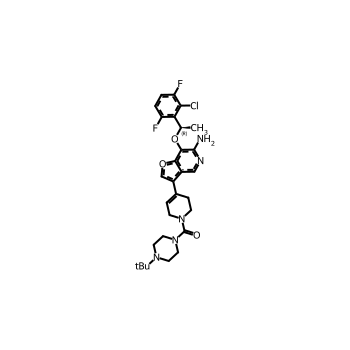 C[C@@H](Oc1c(N)ncc2c(C3=CCN(C(=O)N4CCN(C(C)(C)C)CC4)CC3)coc12)c1c(F)ccc(F)c1Cl